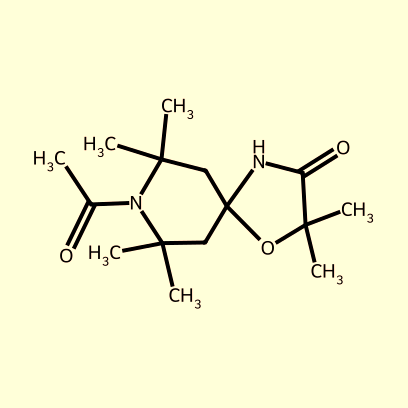 CC(=O)N1C(C)(C)CC2(CC1(C)C)NC(=O)C(C)(C)O2